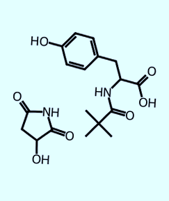 CC(C)(C)C(=O)NC(Cc1ccc(O)cc1)C(=O)O.O=C1CC(O)C(=O)N1